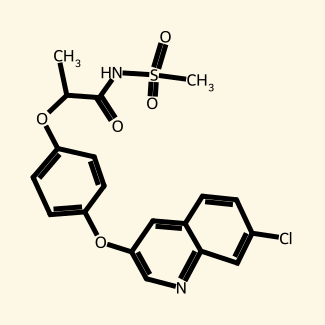 CC(Oc1ccc(Oc2cnc3cc(Cl)ccc3c2)cc1)C(=O)NS(C)(=O)=O